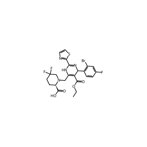 CCOC(=O)C1=C(CN2CC(F)(F)CC[C@@H]2C(=O)O)NC(c2nccs2)=NC1c1ccc(F)cc1Br